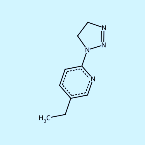 CCc1ccc(N2CCN=N2)nc1